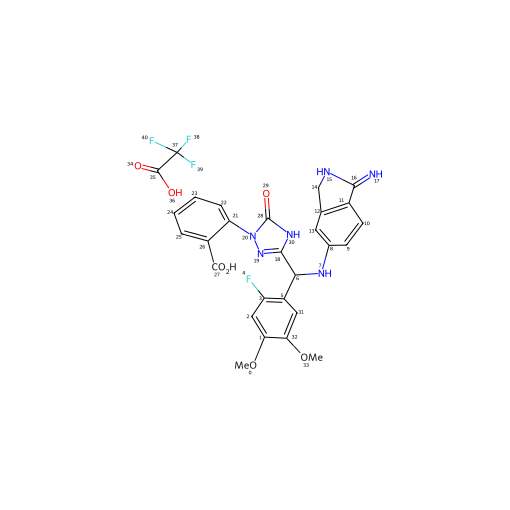 COc1cc(F)c(C(Nc2ccc3c(c2)CNC3=N)c2nn(-c3ccccc3C(=O)O)c(=O)[nH]2)cc1OC.O=C(O)C(F)(F)F